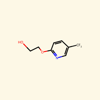 OCCOc1ccc(C(F)(F)F)cn1